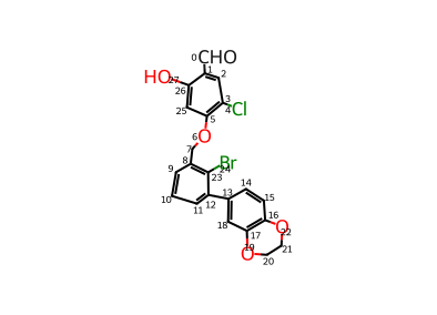 O=Cc1cc(Cl)c(OCc2cccc(-c3ccc4c(c3)OCCO4)c2Br)cc1O